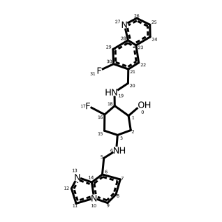 OC1CC(NCc2cccn3ccnc23)CC(F)C1NCc1cc2cccnc2cc1F